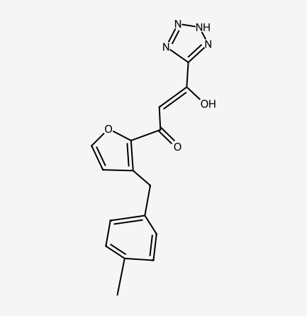 Cc1ccc(Cc2ccoc2C(=O)C=C(O)c2nn[nH]n2)cc1